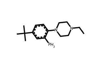 CCN1CCN(c2ccc(C(C)(C)C)cc2P)CC1